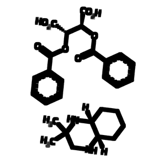 CC1(C)CN[C@H]2CCCC[C@H]2N1.O=C(O[C@H](C(=O)O)[C@H](OC(=O)c1ccccc1)C(=O)O)c1ccccc1